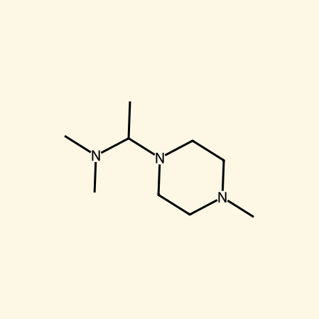 CC(N(C)C)N1CCN(C)CC1